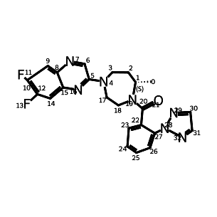 C[C@H]1CCN(c2cnc3cc(F)c(F)cc3n2)CCN1C(=O)c1ccccc1-n1nccn1